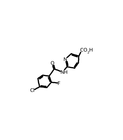 O=C(O)c1ccc(NC(=O)c2ccc(Cl)cc2F)nc1